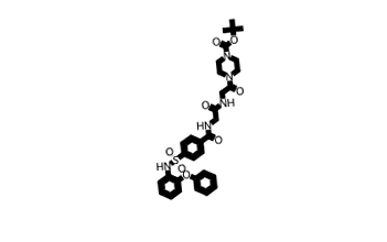 CC(C)(C)OC(=O)N1CCN(C(=O)CNC(=O)CNC(=O)c2ccc(S(=O)(=O)Nc3ccccc3Oc3ccccc3)cc2)CC1